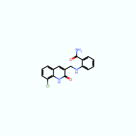 NC(=O)c1ccccc1NCc1cc2cccc(Cl)c2[nH]c1=O